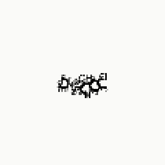 Cc1cc2ncc(S(=O)(=O)N3CCSCC3)c(O)c2cc1Cl